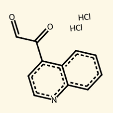 Cl.Cl.O=CC(=O)c1ccnc2ccccc12